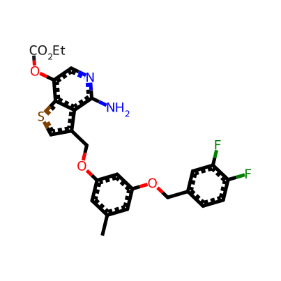 CCOC(=O)Oc1cnc(N)c2c(COc3cc(C)cc(OCc4ccc(F)c(F)c4)c3)csc12